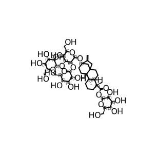 C=C1CC23CC[C@H]4[C@@](C)(CCC[C@@]4(C)C(=O)O[C@@H]4O[C@H](CO)[C@@H](O)[C@H](O)[C@H]4O)[C@@H]2CC[C@]1(O[C@@H]1O[C@H](CO)[C@@H](O)[C@H](O[C@@H]2O[C@H](CO)[C@@H](O)[C@H](O)[C@H]2O)[C@H]1O[C@@H]1O[C@H](CO)[C@@H](O)[C@H](O)[C@H]1O)C3